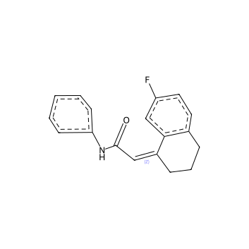 O=C(/C=C1/CCCc2ccc(F)cc21)Nc1ccccc1